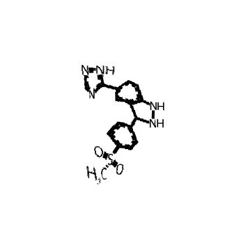 CS(=O)(=O)c1ccc(C2NNc3ccc(-c4ncn[nH]4)cc32)cc1